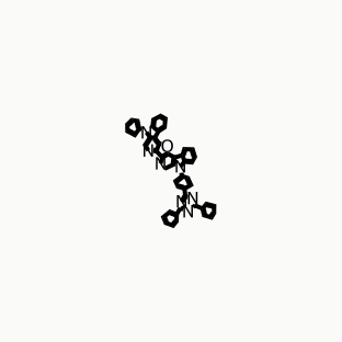 c1ccc(-c2nc(-c3ccccc3)nc(-c3ccc(-n4c5ccccc5c5c6oc7c(ncc8c7c7ccccc7n8-c7ccccc7)c6ncc54)cc3)n2)cc1